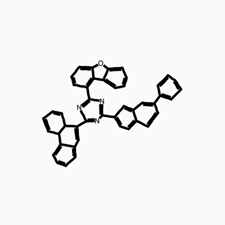 C1=CC2C(c3nc(-c4ccc5ccc(-c6ccccc6)cc5c4)nc(-c4cccc5oc6ccccc6c45)n3)=Cc3ccccc3C2C=C1